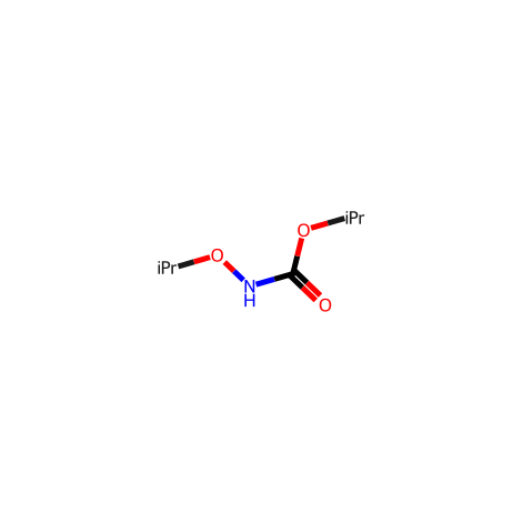 CC(C)ONC(=O)OC(C)C